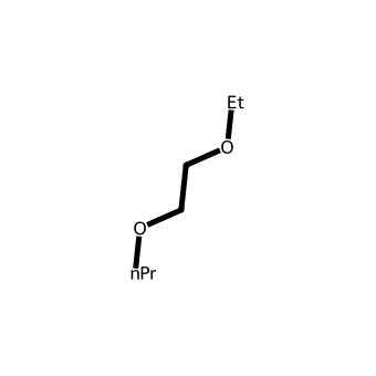 C[CH]COCCOCC